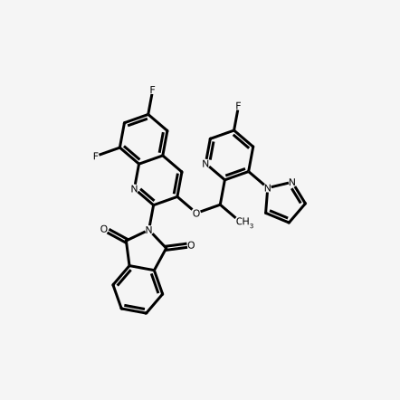 CC(Oc1cc2cc(F)cc(F)c2nc1N1C(=O)c2ccccc2C1=O)c1ncc(F)cc1-n1cccn1